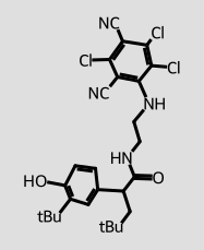 CC(C)(C)CC(C(=O)NCCNc1c(Cl)c(Cl)c(C#N)c(Cl)c1C#N)c1ccc(O)c(C(C)(C)C)c1